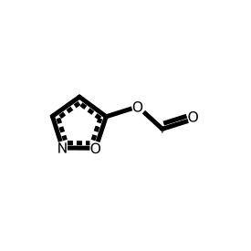 O=[C]Oc1ccno1